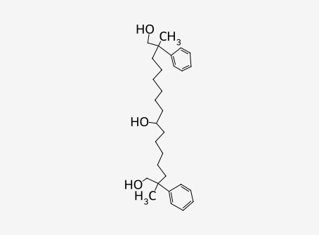 CC(CO)(CCCCCCC(O)CCCCCC(C)(CO)c1ccccc1)c1ccccc1